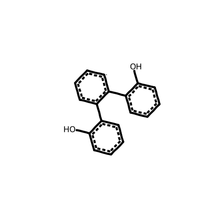 Oc1ccccc1-c1[c]cccc1-c1ccccc1O